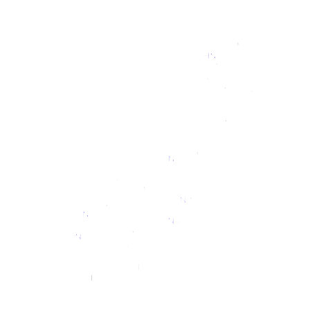 Cc1nnc2sc3c(NCc4ccc5c(c4)CCCN5)nn(C)c3c2c1C